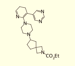 CCOC(=O)N1CC2(CCC(N3CCN(C4=C(c5cncnc5)CCC=N4)CC3)C2)C1